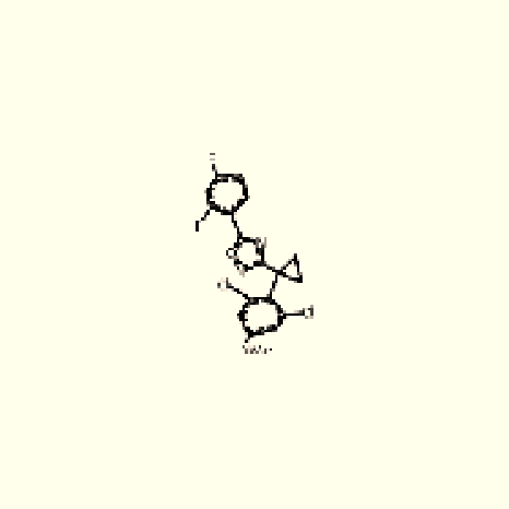 CNc1cc(Cl)c(C2(c3noc(-c4ccc(F)cc4F)n3)CC2)c(Cl)c1